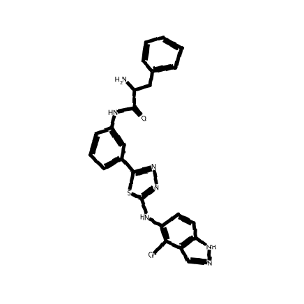 NC(Cc1ccccc1)C(=O)Nc1cccc(-c2nnc(Nc3ccc4[nH]ncc4c3Cl)s2)c1